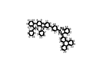 c1ccc(-c2nc3c(ccc4c5ccc(-c6ccc(-c7nc(-c8ccc9c%10ccccc%10c%10ccccc%10c9c8)c8ccccc8n7)cc6)cc5n(-c5ccccc5)c43)c3ccccc23)cc1